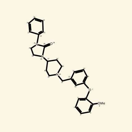 COc1ccccc1Oc1cccc(CN2CCC(N3CCN(c4ccccc4)C3=O)CC2)c1